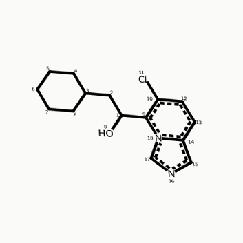 OC(CC1CCCCC1)c1c(Cl)ccc2cncn12